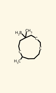 BC1(C)CCCCCCCC(C)CCC1